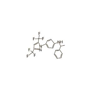 CC(Nc1ccc(-n2nc(C(F)(F)F)cc2C(F)(F)F)cc1)c1ccccc1